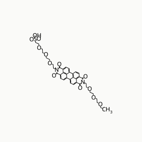 CCOCCOCCOCCN1C(=O)c2ccc3c4ccc5c6c(ccc(c7ccc(c2c37)C1=O)c64)C(=O)N(CCOCCOCCOCCS(=O)(=O)O)C5=O